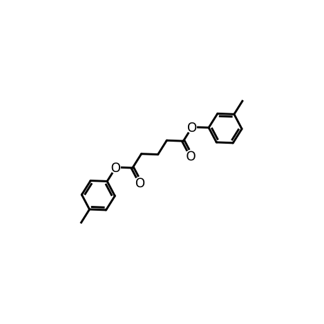 Cc1ccc(OC(=O)CCCC(=O)Oc2cccc(C)c2)cc1